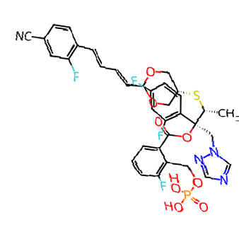 C[C@@H](S[C@H]1CO[C@H](C=CC=Cc2ccc(C#N)cc2F)OC1)[C@@](Cn1cncn1)(OC(=O)c1cccc(F)c1COP(=O)(O)O)c1ccc(F)cc1F